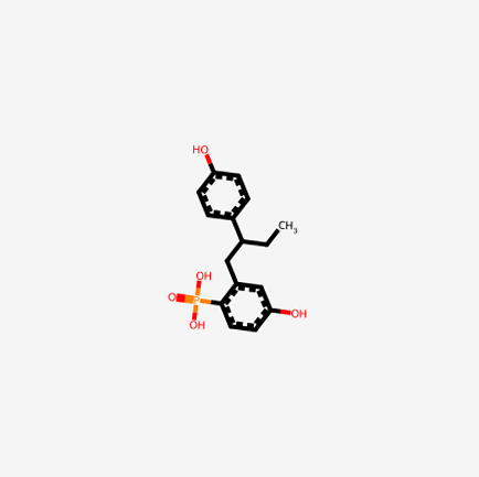 CCC(Cc1cc(O)ccc1P(=O)(O)O)c1ccc(O)cc1